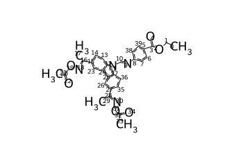 CCOC(=O)c1ccc(N=Cn2c3ccc(C(C)=NOC(C)=O)cc3c3cc(C(C)=NOC(C)=O)ccc32)cc1